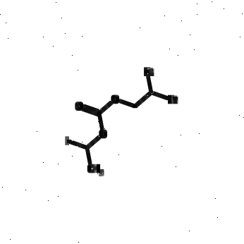 CCC(CC)COC(=O)OC(C)I